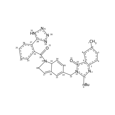 CCCCc1nc2ccc(C)cc2c(=O)n1CC1=CC2=CCN(C(=O)c3ccccc3-c3nnn[nH]3)C2C=C1